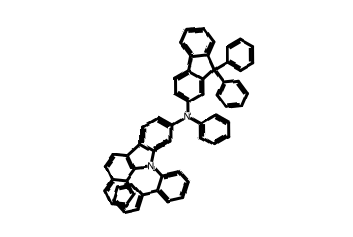 c1ccc(-c2ccccc2-n2c3cc(N(c4ccccc4)c4ccc5c(c4)C(c4ccccc4)(c4ccccc4)c4ccccc4-5)ccc3c3ccc4ccccc4c32)cc1